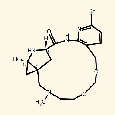 CN1CCCCOCc2ccc(Br)nc2NC(=O)[C@@H]2C[C@]3(C[C@H]3N2)C1